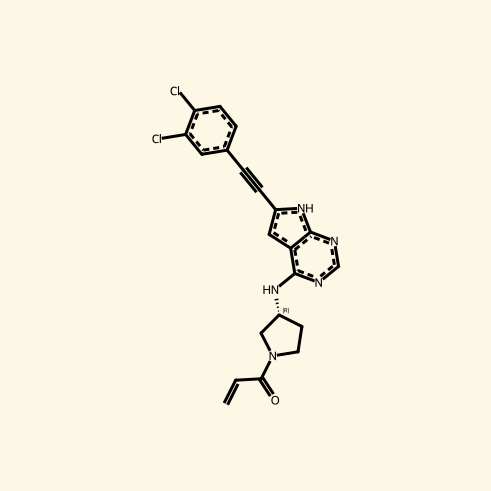 C=CC(=O)N1CC[C@@H](Nc2ncnc3[nH]c(C#Cc4ccc(Cl)c(Cl)c4)cc23)C1